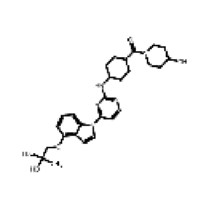 CC(C)(O)COc1cccc2c1ccn2-c1ccnc(NC2CCC(C(=O)N3CCC(O)CC3)CC2)n1